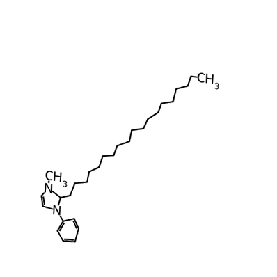 CCCCCCCCCCCCCCCCCCCC1N(C)C=CN1c1ccccc1